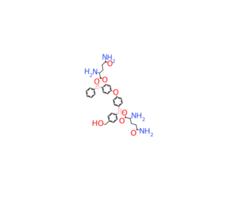 NC(=O)CCC(N)C(=O)OB(c1ccccc1)c1ccc(Oc2ccc(B(OC(=O)C(N)CCC(N)=O)c3ccc(CO)cc3)cc2)cc1